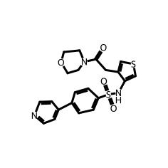 O=C(Cc1cscc1NS(=O)(=O)c1ccc(-c2ccncc2)cc1)N1CCOCC1